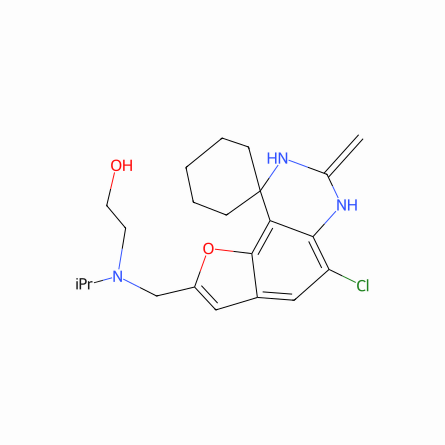 C=C1Nc2c(Cl)cc3cc(CN(CCO)C(C)C)oc3c2C2(CCCCC2)N1